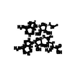 CSC[C@H]1O[C@@H](n2cnc3c(N)ncnc32)[C@H](O)[C@@H]1O.C[S+](CC[C@H](N)C(=O)O)C[C@H]1O[C@@H](n2cnc3c(N)ncnc32)[C@H](O)[C@@H]1O